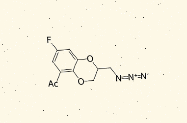 CC(=O)c1cc(F)cc2c1OCC(CN=[N+]=[N-])O2